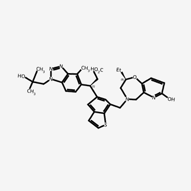 CC[C@@H]1CN(Cc2cc([C@H](CC(=O)O)c3ccc4c(nnn4CC(C)(C)O)c3C)cc3ccsc23)Cc2nc(O)ccc2O1